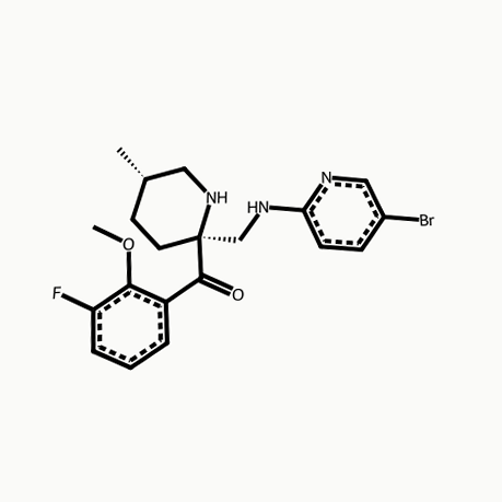 COc1c(F)cccc1C(=O)[C@@]1(CNc2ccc(Br)cn2)CC[C@H](C)CN1